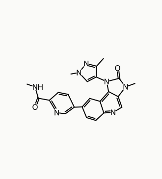 CNC(=O)c1ccc(-c2ccc3ncc4c(c3c2)n(-c2cn(C)nc2C)c(=O)n4C)cn1